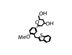 COc1ccc([C@H]2CC(O)CC(CO)O2)cc1Cc1cc2ccccc2s1